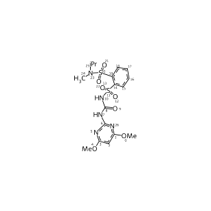 COc1cc(OC)nc(NC(=O)NS(=O)(=O)c2ccccc2S(=O)(=O)N(C)C(C)C)n1